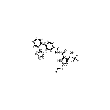 CCCc1nc(C(O)C(C)(C)C)c(C(=O)NCc2ccc(-c3ccccc3-c3nnn[nH]3)cc2)[nH]1